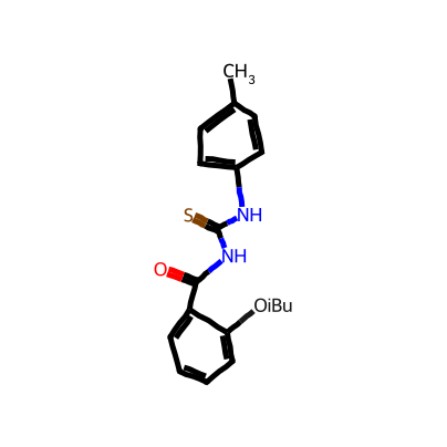 Cc1ccc(NC(=S)NC(=O)c2ccccc2OCC(C)C)cc1